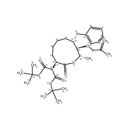 C=C(C)CO[C@H]1[C@H](C)OC(=O)[C@@H](N(C(=O)OC(C)(C)C)C(=O)OC(C)(C)C)CCCC[C@@H]1Oc1ccccc1